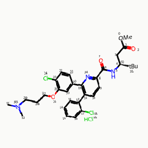 COC(=O)C[C@H](NC(=O)c1ccc(-c2ccccc2Cl)c(-c2ccc(Cl)c(OCCCN(C)C)c2)n1)C(C)(C)C.Cl